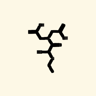 C=C(O)CN(CC(=C)O)C(=O)C(O)OCC